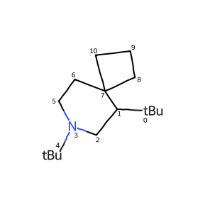 CC(C)(C)C1CN(C(C)(C)C)CCC12CCC2